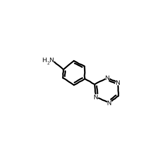 Nc1ccc(-c2nncnn2)cc1